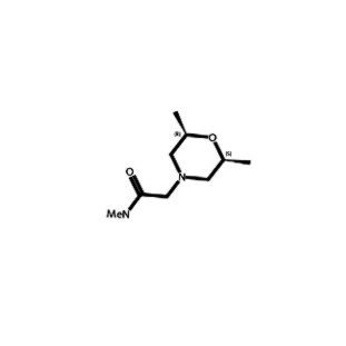 CNC(=O)CN1C[C@@H](C)O[C@@H](C)C1